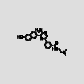 CN(C)CCNC(=O)c1cccc(-c2cnc(N)c(-c3ccc4cc(O)ccc4c3)n2)c1